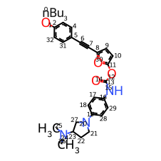 CCCCOc1ccc(C#Cc2ccc(OC(=O)Nc3ccc(N4CCC(N(C)C)C4)cc3)o2)cc1